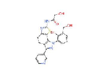 O=C(CO)Nc1nc2c(s1)-c1c(c(-c3cccnc3)nn1-c1cccc(CO)c1Br)CC2